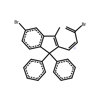 C=C(Br)/C=C\C1=C(C)c2cc(Br)ccc2C1(c1ccccc1)c1ccccc1